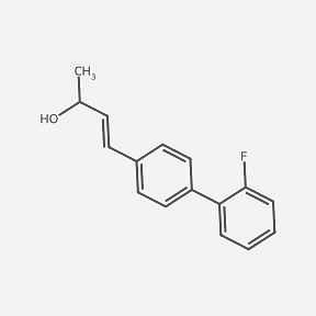 CC(O)/C=C/c1ccc(-c2ccccc2F)cc1